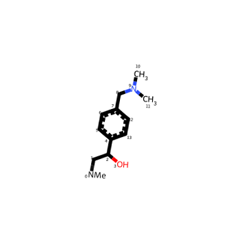 CNCC(O)c1ccc(CN(C)C)cc1